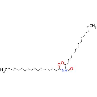 CCCCCCCCCCCCCCCCCC(=O)NC(C=O)C(=O)CCCCCCCCCCCCCCC